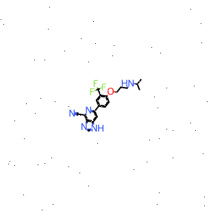 CC(C)NCCCOc1ccc(-c2cc3[nH]cnc3c(C#N)n2)cc1C(F)(F)F